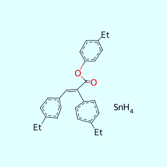 CCc1ccc(C=C(C(=O)Oc2ccc(CC)cc2)c2ccc(CC)cc2)cc1.[SnH4]